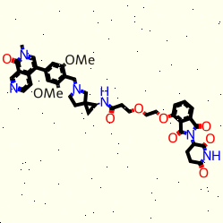 COc1cc(-c2cn(C)c(=O)c3cnccc23)cc(OC)c1CN1CCC2(C[C@H]2NC(=O)CCOCCOc2cccc3c2C(=O)N(C2CCC(=O)NC2=O)C3=O)C1